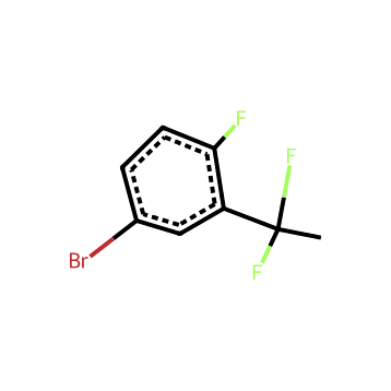 CC(F)(F)c1cc(Br)ccc1F